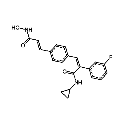 O=C(/C=C/c1ccc(/C=C(\C(=O)NC2CC2)c2cccc(F)c2)cc1)NO